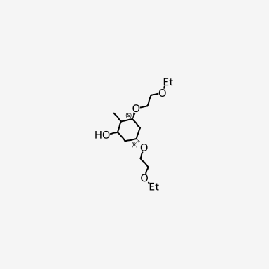 CCOCCO[C@@H]1CC(O)C(C)[C@@H](OCCOCC)C1